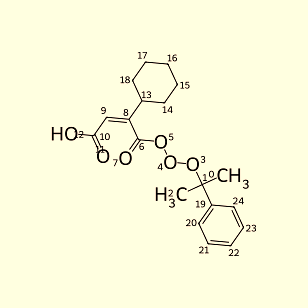 CC(C)(OOOC(=O)C(=CC(=O)O)C1CCCCC1)c1ccccc1